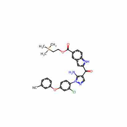 CS(C)(C)CCOC(=O)c1ccc2[nH]c(C(=O)c3cnn(-c4ccc(Oc5cccc(C#N)c5)cc4Cl)c3N)cc2c1